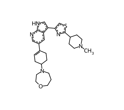 CN1CCC(c2nc(-c3c[nH]c4ncc(C5=CCC(N6CCCOCC6)CC5)cc34)cs2)CC1